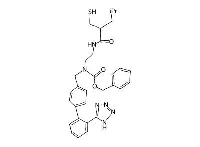 CC(C)CC(CS)C(=O)NCCN(Cc1ccc(-c2ccccc2-c2nnn[nH]2)cc1)C(=O)OCc1ccccc1